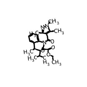 CCOC(=O)C(=O)N(C(=O)c1c(C)nn(C)c1C)c1ccccc1C(C)CC(C)C